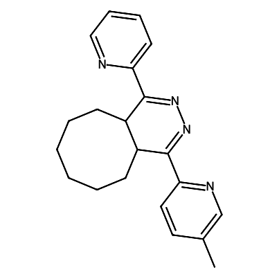 Cc1ccc(C2=NN=C(c3ccccn3)C3CCCCCCC23)nc1